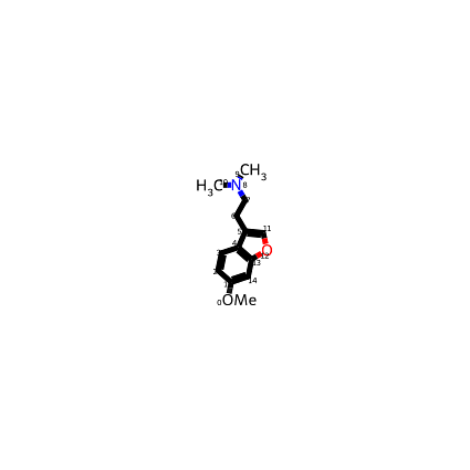 COc1ccc2c(CCN(C)C)coc2c1